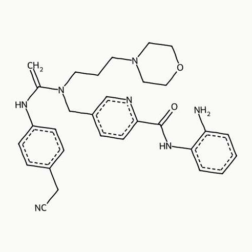 C=C(Nc1ccc(CC#N)cc1)N(CCCN1CCOCC1)Cc1ccc(C(=O)Nc2ccccc2N)nc1